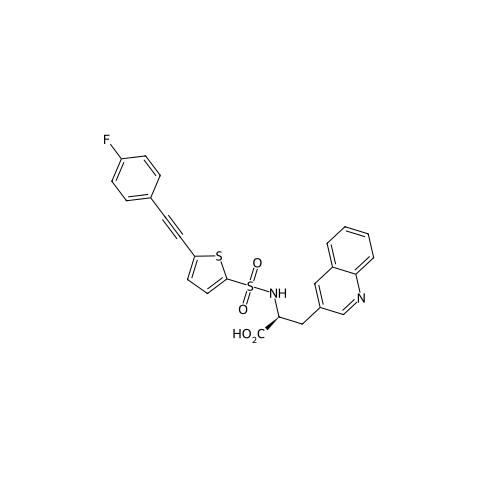 O=C(O)[C@H](Cc1cnc2ccccc2c1)NS(=O)(=O)c1ccc(C#Cc2ccc(F)cc2)s1